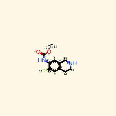 CC(C)(C)OC(=O)Nc1cc2c(cc1F)CCNC2